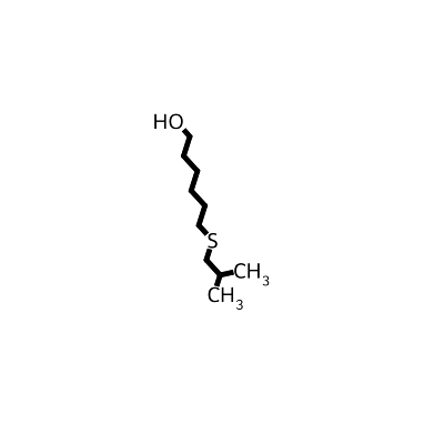 CC(C)CSCCCCCCO